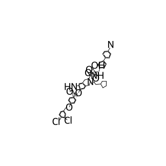 N#Cc1ccc(-c2ccc(C[C@H](NC(=O)C3Cc4cc5c(cc4CN3C(=O)CC3CCCC3)O[C@@H](c3ccc(OCc4ccc(Cl)c(Cl)c4)cc3)C(=O)N5)C(=O)O)cc2)cc1